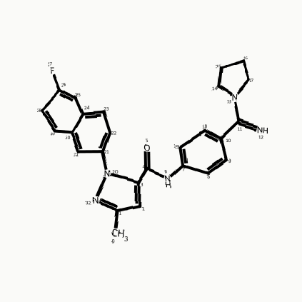 Cc1cc(C(=O)Nc2ccc(C(=N)N3CCCC3)cc2)n(-c2ccc3cc(F)ccc3c2)n1